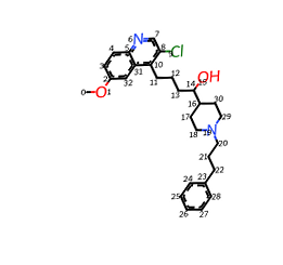 COc1ccc2ncc(Cl)c(CCCC(O)C3CCN(CCCc4ccccc4)CC3)c2c1